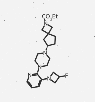 CCOC(=O)N1CC2(CC[C@@H](N3CCN(c4ncccc4N4CC(F)C4)CC3)C2)C1